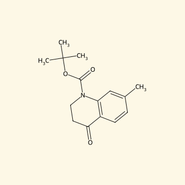 Cc1ccc2c(c1)N(C(=O)OC(C)(C)C)CCC2=O